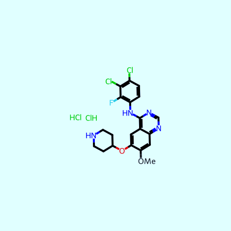 COc1cc2ncnc(Nc3ccc(Cl)c(Cl)c3F)c2cc1OC1CCNCC1.Cl.Cl